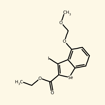 CCOC(=O)c1[se]c2cccc(OCOC)c2c1I